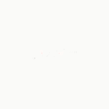 COC(=O)C=CCCOCC(=O)O